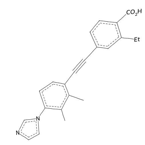 CCc1cc(C#Cc2ccc(-n3ccnc3)c(C)c2C)ccc1C(=O)O